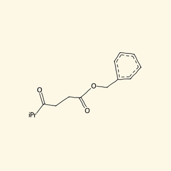 CC(C)C(=O)CCC(=O)OCc1ccccc1